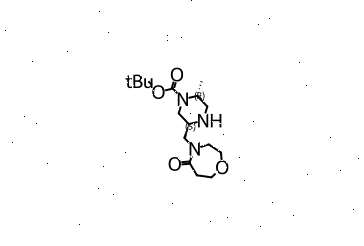 C[C@@H]1CN[C@@H](CN2CCOCCC2=O)CN1C(=O)OC(C)(C)C